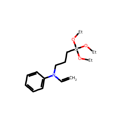 C=CN(CCC[Si](OCC)(OCC)OCC)c1ccccc1